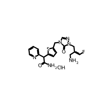 Cl.NC/C(=C/F)Cn1ncn(Cc2ccc(C(C(N)=O)c3ccccn3)s2)c1=O